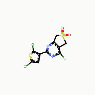 O=S1(=O)Cc2nc(-c3cc(Cl)sc3Cl)nc(Cl)c2C1